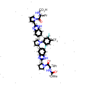 COC(=O)N[C@H](C(=O)N1CCC[C@H]1c1nc2cc([C@H]3CC[C@H](c4ccc5[nH]c(-c6cccn6C(=O)[C@@H](NC(=O)O)C(C)C)nc5c4)N3c3cc(F)c(C(F)(F)F)cc3F)ccc2[nH]1)C(C)C